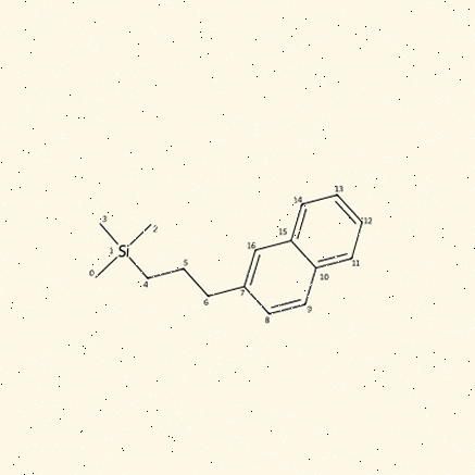 C[Si](C)(C)CCCc1ccc2c[c]ccc2c1